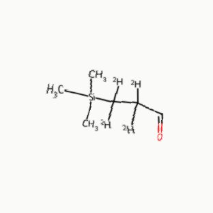 [2H]C([2H])(C=O)C([2H])([2H])[Si](C)(C)C